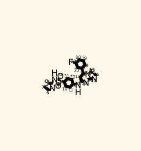 O=S(=O)(Nc1nccs1)c1ccc(Nc2cc(-c3cccc(F)c3)n3ncnc3n2)cc1